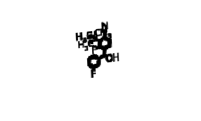 C[Si](C)(C)c1c(C#N)ccc(C(O)c2cccc(F)c2)c1F